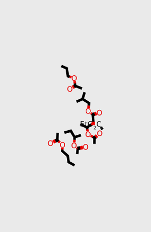 CC(=O)OC(C)C.CC(=O)OCC(C)C.CCC(C)OC(C)=O.CCCCOC(C)=O.CCCOC(C)=O.CCOC(C)=O